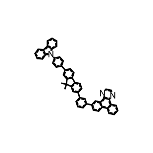 CC1(C)c2cc(-c3ccc(-n4c5ccccc5c5ccccc54)cc3)ccc2-c2ccc(-c3cccc(-c4ccc5c6ccccc6c6nccnc6c5c4)c3)cc21